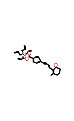 C=CC[Si](CC=C)(CC=C)C(C=C)OC(=O)c1ccc(C#CC=CC2=C(C)CCCC2=O)cc1